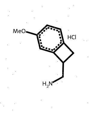 COc1ccc2c(c1)C(CN)C2.Cl